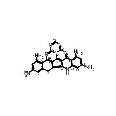 Nc1cc(N)c2c(c1)Cc1c3[nH]c4cc(N)cc(N)c4c4nc5ncnc6nc-2c1c(c34)n65